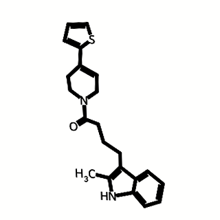 Cc1[nH]c2ccccc2c1CCCC(=O)N1CC=C(c2cccs2)CC1